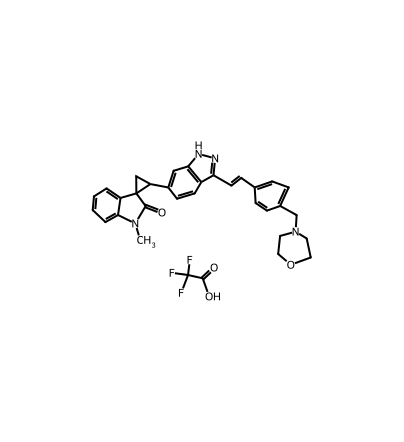 CN1C(=O)C2(CC2c2ccc3c(/C=C/c4ccc(CN5CCOCC5)cc4)n[nH]c3c2)c2ccccc21.O=C(O)C(F)(F)F